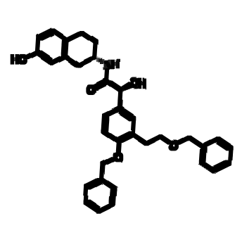 O=C(N[C@H]1CCc2ccc(O)cc2C1)[C@@H](O)c1ccc(OCc2ccccc2)c(CCOCc2ccccc2)c1